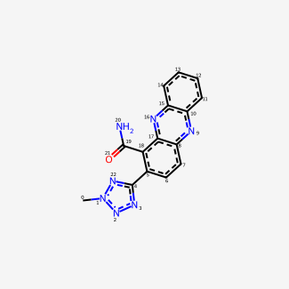 Cn1nnc(-c2ccc3nc4ccccc4nc3c2C(N)=O)n1